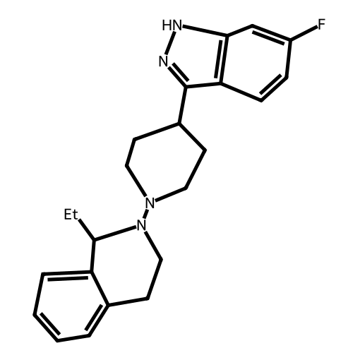 CCC1c2ccccc2CCN1N1CCC(c2n[nH]c3cc(F)ccc23)CC1